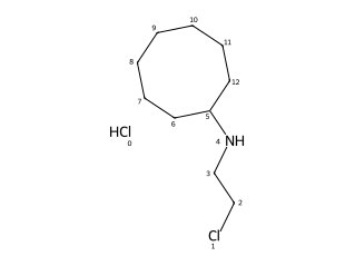 Cl.ClCCNC1CCCCCCC1